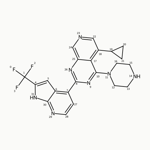 FC(F)(F)c1cc2c(-c3nc(N4CCNCC4)c4c(C5CC5)cncc4n3)ccnc2[nH]1